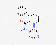 CN(C(=O)C1NCCCC1c1ccccc1)c1ccncc1